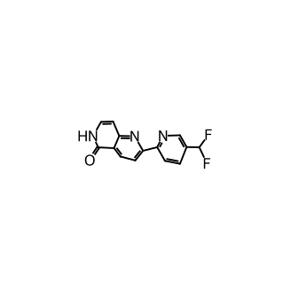 O=c1[nH]ccc2nc(-c3ccc(C(F)F)cn3)ccc12